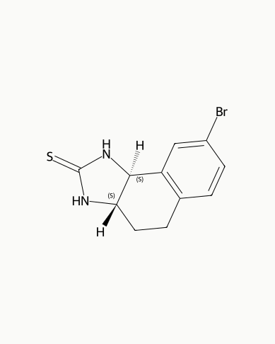 S=C1N[C@H]2CCc3ccc(Br)cc3[C@@H]2N1